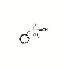 C#CC(C)(C)Oc1ccccc1